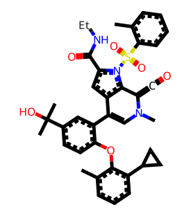 CCNC(=O)c1cc2c(n1S(=O)(=O)c1ccccc1C)C(=C=O)N(C)C=C2c1cc(C(C)(C)O)ccc1Oc1c(C)cccc1C1CC1